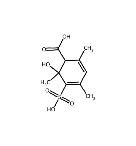 CC1=CC(C)=C(S(=O)(=O)O)C(C)(O)C1C(=O)O